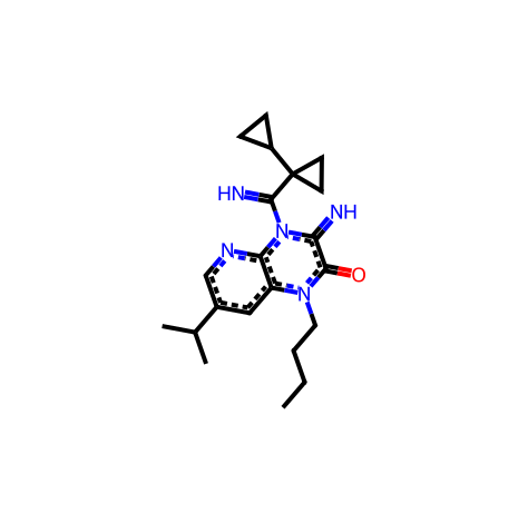 CCCCn1c(=O)c(=N)n(C(=N)C2(C3CC3)CC2)c2ncc(C(C)C)cc21